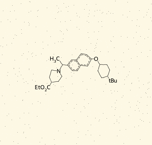 CCOC(=O)C1CCN(C(C)c2ccc3cc(OC4CCC(C(C)(C)C)CC4)ccc3c2)CC1